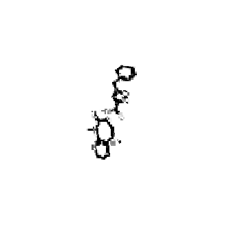 C[C@H]1C[C@@H](NC(=O)c2cc(Cc3ccccc3)on2)C(=O)N(C)c2ncccc21